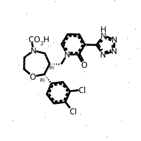 O=C(O)N1CCO[C@@H](c2ccc(Cl)c(Cl)c2)[C@@H](Cn2cccc(-c3nnn[nH]3)c2=O)C1